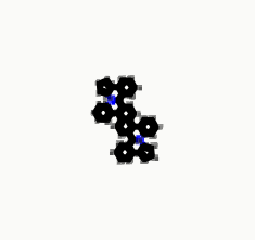 C1=C2C(=CC1)N1c3ccccc3-c3c(ccc4c5c(ccc34)C3c4ccccc4C4=CCC=C4N3c3ccccc3-5)C1c1ccccc12